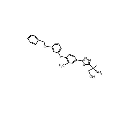 CC(N)(CO)c1nnc(-c2ccc(Sc3cccc(OCc4ccccc4)c3)c(C(F)(F)F)c2)s1